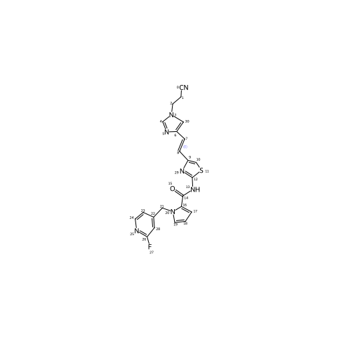 N#CCCn1cnc(/C=C/c2csc(NC(=O)c3cccn3Cc3ccnc(F)c3)n2)c1